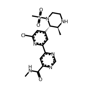 CNC(=O)c1cc(-c2cc([C@H]3[C@H](C)NCCN3S(C)(=O)=O)cc(Cl)n2)ncn1